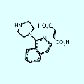 O=C(O)C=CC(=O)O.c1ccc2c(N3CCNCC3)nccc2c1